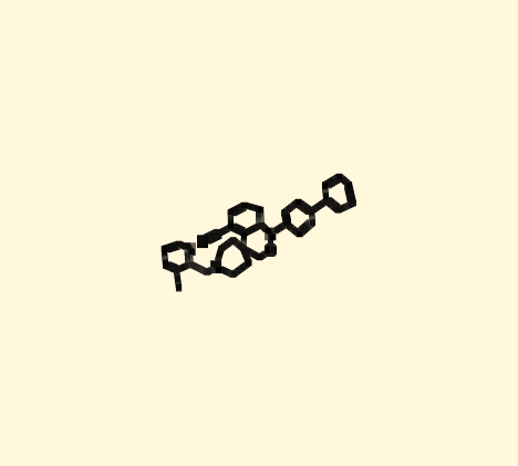 Cc1cccnc1CN1CCC2(CC1)CON(c1ccc(-c3ccccc3)cc1)c1cccc(C#N)c12